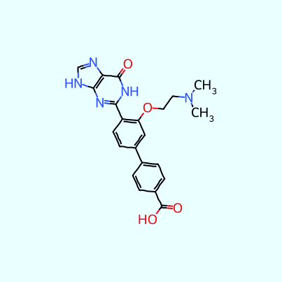 CN(C)CCOc1cc(-c2ccc(C(=O)O)cc2)ccc1-c1nc2[nH]cnc2c(=O)[nH]1